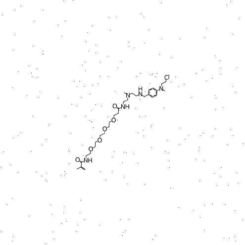 C=C(C)C(=O)NCCOCCOCCOCCOCCC(=O)NCCN(C)CCNCc1ccc(N(C)CCCl)cc1